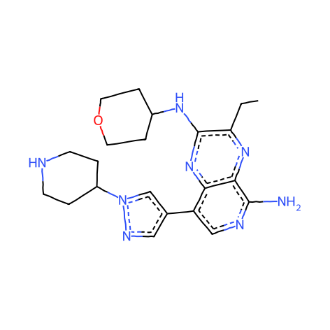 CCc1nc2c(N)ncc(-c3cnn(C4CCNCC4)c3)c2nc1NC1CCOCC1